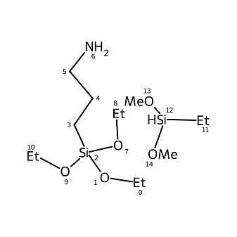 CCO[Si](CCCN)(OCC)OCC.CC[SiH](OC)OC